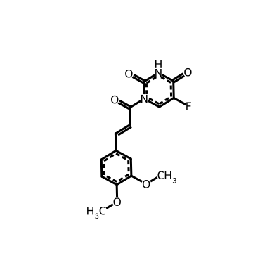 COc1ccc(C=CC(=O)n2cc(F)c(=O)[nH]c2=O)cc1OC